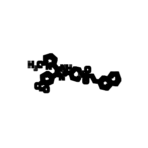 Cc1cccc(-c2[nH]c(C3CCN(S(=O)(=O)CCc4ccc5ccccc5c4)CC3)nc2-c2ccc3c(c2)OCO3)n1